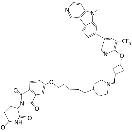 Cn1c2ccncc2c2ccc(-c3cnc(O[C@H]4C[C@H](CN5CCC(CCCCCOc6ccc7c(c6)C(=O)N(C6CCC(=O)NC6=O)C7=O)CC5)C4)c(C(F)(F)F)c3)cc21